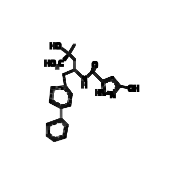 C[C@@](O)(CC(Cc1ccc(-c2ccccc2)cc1)NC(=O)c1cc(O)n[nH]1)C(=O)O